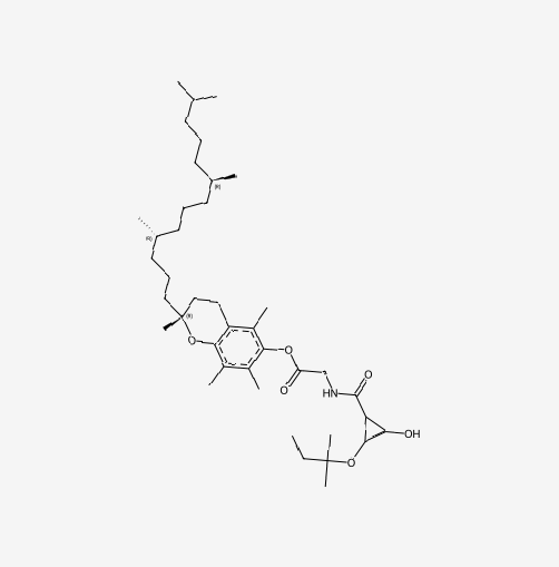 CCC(C)(C)OC1C(O)C1C(=O)NCC(=O)Oc1c(C)c(C)c2c(c1C)CC[C@@](C)(CCC[C@H](C)CCC[C@H](C)CCCC(C)C)O2